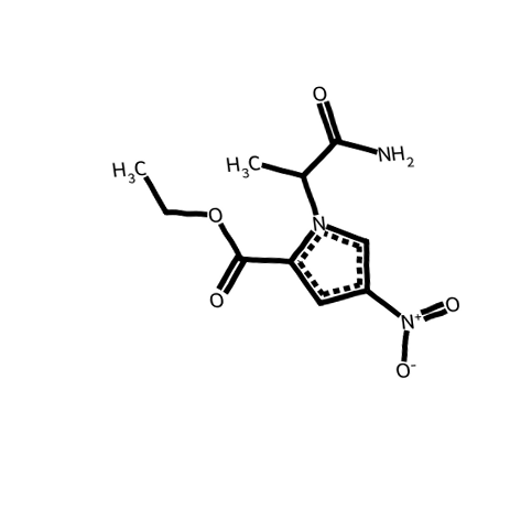 CCOC(=O)c1cc([N+](=O)[O-])cn1C(C)C(N)=O